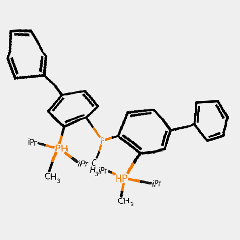 CC(C)[PH](C)(c1cc(-c2ccccc2)ccc1P(C)c1ccc(-c2ccccc2)cc1[PH](C)(C(C)C)C(C)C)C(C)C